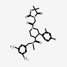 Cc1cc(F)ccc1C1CN(C(=O)CN2C(=O)OC(C)(C)C2=O)CCC1C(=O)N(C)Cc1cc(C(F)(F)F)cc(C(F)(F)F)c1